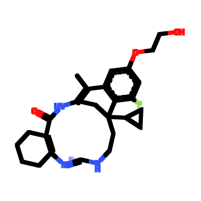 C=C(C)c1cc(OCCO)cc(F)c1C1(C2CC2)CCN/C=N/C2=C(CCCC2)C(=O)NCC1